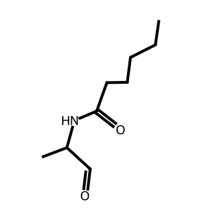 CCCCCC(=O)NC(C)C=O